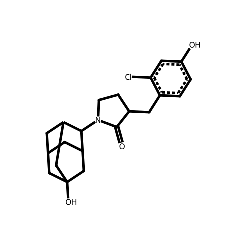 O=C1C(Cc2ccc(O)cc2Cl)CCN1C1C2CC3CC1CC(O)(C3)C2